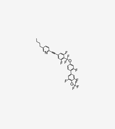 CCCCc1ccc(C#Cc2cc(F)c(C(F)(F)Oc3ccc(-c4cc(F)c(OC(F)(F)F)c(F)c4)c(F)c3)c(F)c2)nc1